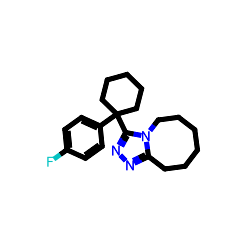 Fc1ccc(C2(c3nnc4n3CCCCCC4)CCCCC2)cc1